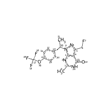 Cc1nc2c(c(CF)nn2C(C)c2ccc(OC(F)(F)F)cc2)c(=O)[nH]1